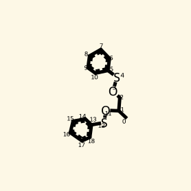 CC(COSc1ccccc1)OSc1ccccc1